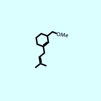 COCC1C=C(CC=C(C)C)CCC1